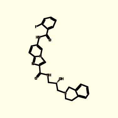 O=C(NC[C@H](O)CN1CCc2ccccc2C1)c1cn2cc(NC(=O)c3ccccc3F)ccc2n1